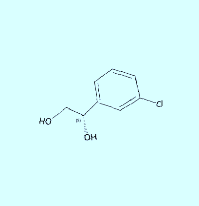 OC[C@@H](O)c1cccc(Cl)c1